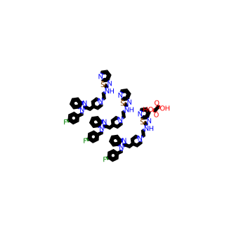 Fc1ccc(Cn2c(CC3CCN(CCNc4nc5cccnc5s4)CC3)nc3ccccc32)cc1.Fc1ccc(Cn2c(CC3CCN(CCNc4nc5cccnc5s4)CC3)nc3ccccc32)cc1.Fc1ccc(Cn2c(CC3CCN(CCNc4nc5cccnc5s4)CC3)nc3ccccc32)cc1.O=C(O)C(=O)O